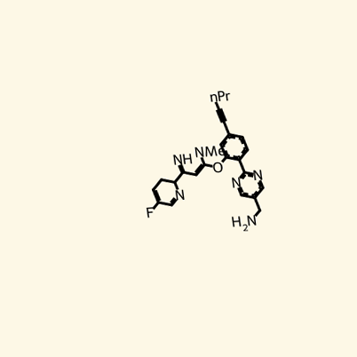 CCCC#Cc1ccc(-c2ncc(CN)cn2)c(O/C(=C/C(=N)C2CC=C(F)C=N2)NC)c1